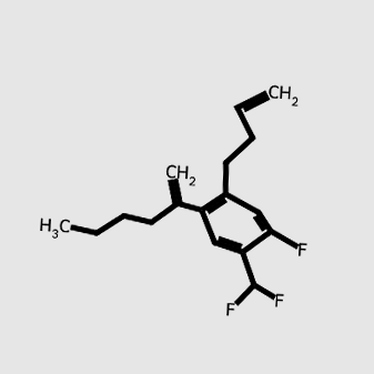 C=CCCc1cc(F)c(C(F)F)cc1C(=C)CCCC